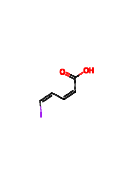 O=C(O)/C=C\C=C/I